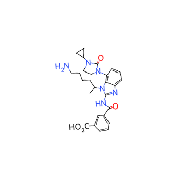 CC(CCCCN)n1c(NC(=O)c2cccc(C(=O)O)c2)nc2cccc(N3CCN(C4CC4)C3=O)c21